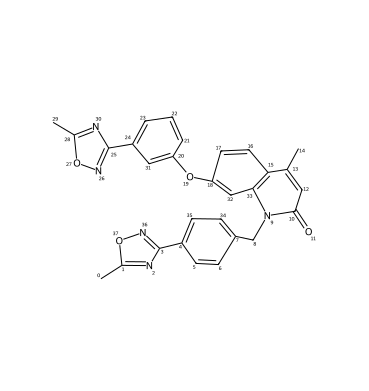 Cc1nc(-c2ccc(Cn3c(=O)cc(C)c4ccc(Oc5cccc(-c6noc(C)n6)c5)cc43)cc2)no1